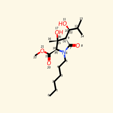 CCCCCCN1C(=O)[C@@H]([C@@H](O)C(C)C)[C@@](C)(O)[C@@H]1C(=O)OC